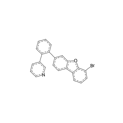 Brc1cccc2c1oc1cc(-c3ccccc3-c3cccnc3)ccc12